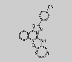 N#Cc1ccc(-c2nc3c4ccccc4nc(Nc4cnccnc4=O)n3n2)cc1